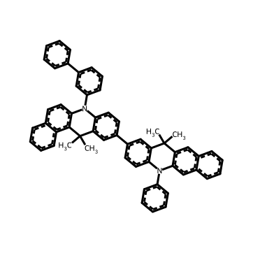 CC1(C)c2cc(-c3ccc4c(c3)C(C)(C)c3c(ccc5ccccc35)N4c3cccc(-c4ccccc4)c3)ccc2N(c2ccccc2)c2cc3ccccc3cc21